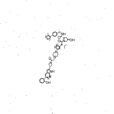 Cc1ncsc1-c1ccc([C@H](C)NC(=O)[C@@H]2C[C@@H](O)CN2C(=O)[C@@H](c2cc(N3CCN(CC(=O)N4CC(c5cc6cc(-c7ccccc7O)nnc6[nH]5)C4)CC3)no2)C(C)C)cc1